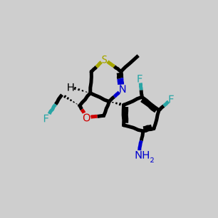 CC1=N[C@@]2(c3cc(N)cc(F)c3F)CO[C@H](CF)[C@H]2CS1